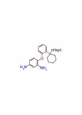 CCCCCCCC1(c2ccccc2Oc2ccc(N)cc2N)CCCCC1